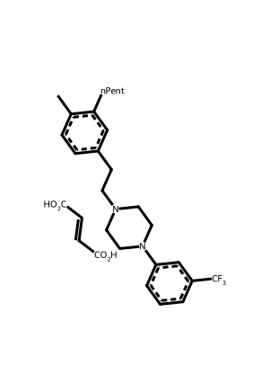 CCCCCc1cc(CCN2CCN(c3cccc(C(F)(F)F)c3)CC2)ccc1C.O=C(O)C=CC(=O)O